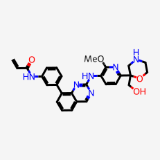 C=CC(=O)Nc1cccc(-c2cccc3cnc(Nc4ccc(C5(CO)CNCCO5)nc4OC)nc23)c1